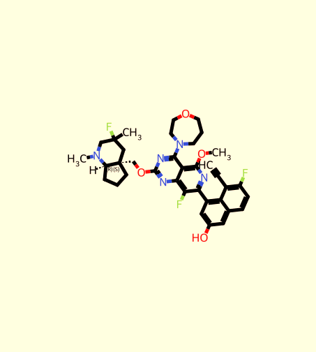 C#Cc1c(F)ccc2cc(O)cc(-c3nc(OC)c4c(N5CCCOCC5)nc(OC[C@]56CCC[C@H]5N(C)CC(C)(F)C6)nc4c3F)c12